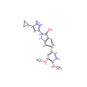 COc1cc(-c2ccc3c(c2)CN(c2cc(C4CC4)[nH]n2)C3=O)cnc1OC